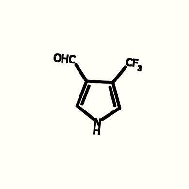 O=Cc1c[nH]cc1C(F)(F)F